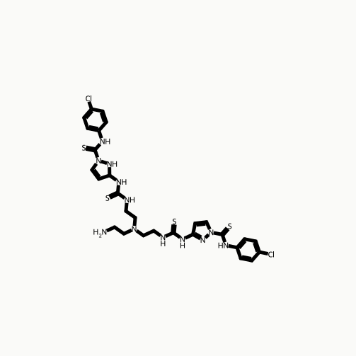 NCCN(CCNC(=S)Nc1ccn(C(=S)Nc2ccc(Cl)cc2)n1)CCNC(=S)NC1C=CN(C(=S)Nc2ccc(Cl)cc2)N1